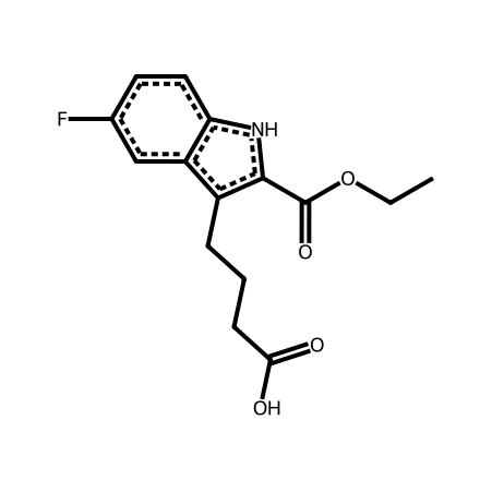 CCOC(=O)c1[nH]c2ccc(F)cc2c1CCCC(=O)O